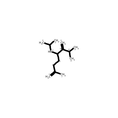 C=C(C)CCC(NC(C)C)C(=C)C(C)C